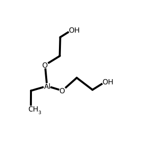 C[CH2][Al]([O]CCO)[O]CCO